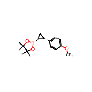 CC1(C)OB([C@@H]2C[C@@H]2c2ccc(OC(F)(F)F)cc2)OC1(C)C